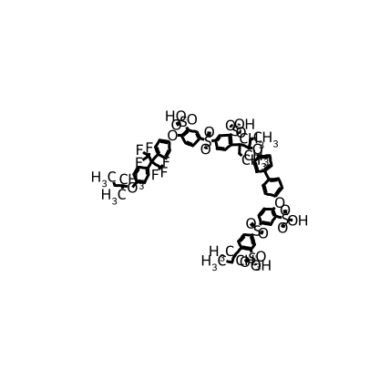 CCC(C)(C)Oc1ccc(C(c2ccc(Oc3ccc(S(=O)(=O)c4ccc(C(C)(CC)C(C)(CC)Oc5ccc(-c6ccc(Oc7ccc(S(=O)(=O)c8ccc(C(C)(C)CC)c(S(=O)(=O)O)c8)cc7S(=O)(=O)O)cc6)cc5)c(S(=O)(=O)O)c4)cc3S(=O)(=O)O)cc2)(C(F)(F)F)C(F)(F)F)cc1